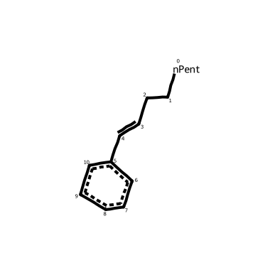 CCCCCCCC=Cc1cc[c]cc1